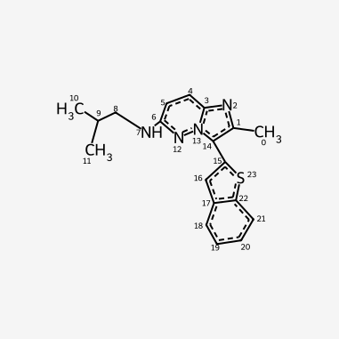 Cc1nc2ccc(NCC(C)C)nn2c1-c1cc2ccccc2s1